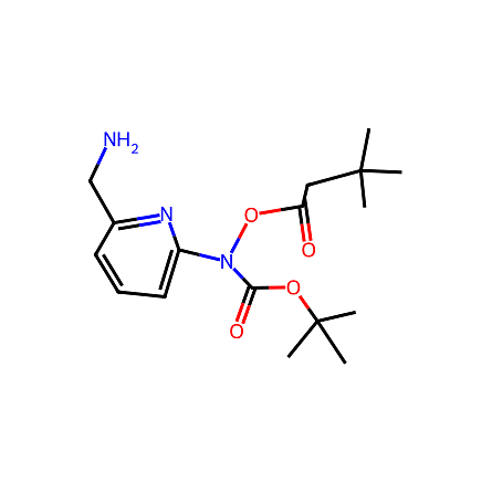 CC(C)(C)CC(=O)ON(C(=O)OC(C)(C)C)c1cccc(CN)n1